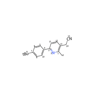 Cc1nc(-c2ccc(C(C)(C)C)cc2)ccc1CC#N